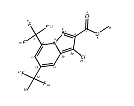 COC(=O)c1nn2c(C(F)(F)F)cc(C(C)(F)F)cc2c1Cl